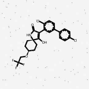 O=C1N[C@]2(CC[C@H](OCC(F)(F)F)CC2)C(O)=C1c1cc(-c2ccc(Cl)cc2)ccc1Cl